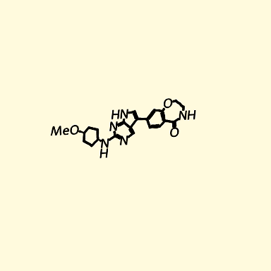 CO[C@H]1CC[C@@H](Nc2ncc3c(-c4ccc5c(c4)OCCNC5=O)c[nH]c3n2)CC1